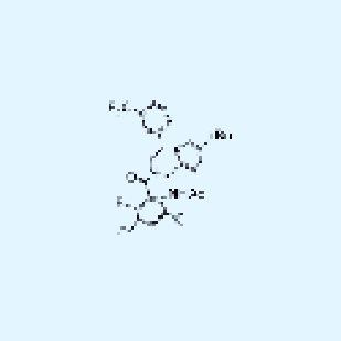 CC(=O)Nc1c(Cl)cc(Cl)c(F)c1C(=O)N(CCc1cccc(C(F)(F)F)c1)Cc1ccc(C(C)(C)C)cc1